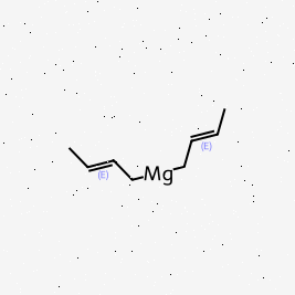 C/C=C/[CH2][Mg][CH2]/C=C/C